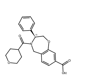 O=C(O)c1ccc2c(c1)OC[C@H](c1ccccc1)N(C(=O)C1CCOCC1)C2